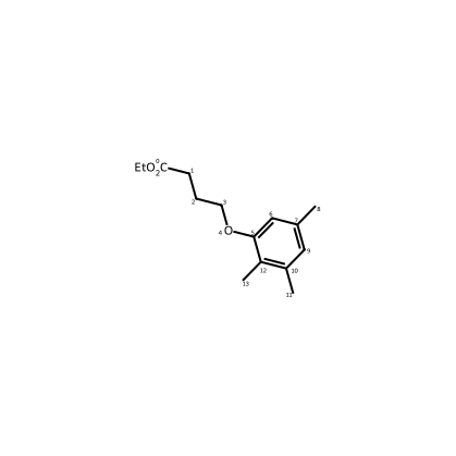 CCOC(=O)CCCOc1cc(C)cc(C)c1C